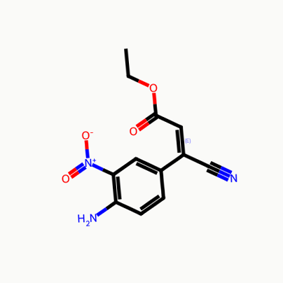 CCOC(=O)/C=C(/C#N)c1ccc(N)c([N+](=O)[O-])c1